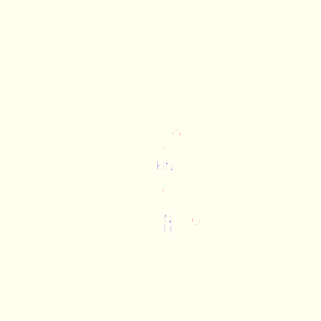 C=CC(=O)Nc1ccccc1S(=O)(=O)Nc1ccc(C)cc1